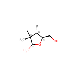 B[C@@H]1O[C@H](CO)[C@@H](C)[C@]1(C)C(F)(F)F